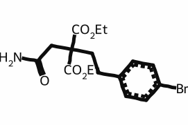 CCOC(=O)C(CCc1ccc(Br)cc1)(CC(N)=O)C(=O)OCC